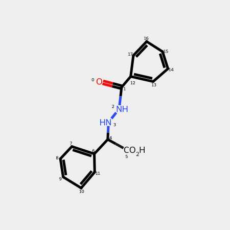 O=C(NNC(C(=O)O)c1ccccc1)c1ccccc1